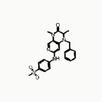 CC1C(=O)N(C)c2cnc(Nc3ccc(S(C)(=O)=O)cc3)cc2N1Cc1ccccc1